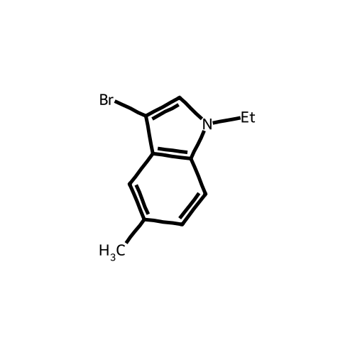 CCn1cc(Br)c2cc(C)ccc21